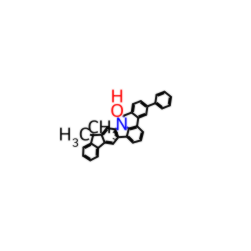 CC1(C)c2ccccc2-c2cc3c4cccc5c4n(c3cc21)C(O)c1ccc(-c2ccccc2)cc1-5